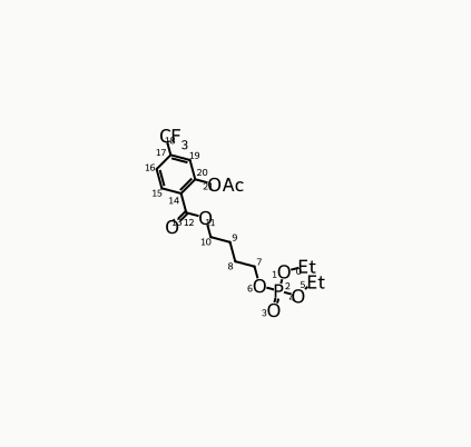 CCOP(=O)(OCC)OCCCCOC(=O)c1ccc(C(F)(F)F)cc1OC(C)=O